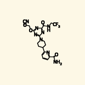 N#COCOc1nc(C(=O)NCC(F)(F)F)nc(N2CCC(c3cccc(C(N)=O)n3)CC2)n1